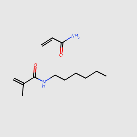 C=C(C)C(=O)NCCCCCC.C=CC(N)=O